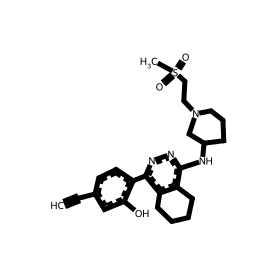 C#Cc1ccc(-c2nnc(NC3CCCN(CCS(C)(=O)=O)C3)c3c2CCCC3)c(O)c1